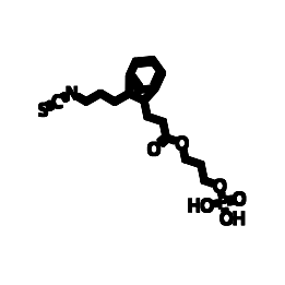 O=C(CCC1c2cccc(c2)C1CCCN=C=S)OCCCOP(=O)(O)O